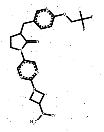 C[S+]([O-])C1CN(c2ncc(N3CCC(Cc4ccc(OCC(F)(F)F)nc4)C3=O)cn2)C1